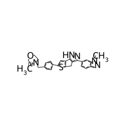 C[C@H]1COCCN1Cc1ccc(-c2cc3c(s2)Cc2c(-c4ccc5cnn(C)c5c4)n[nH]c2-3)cc1